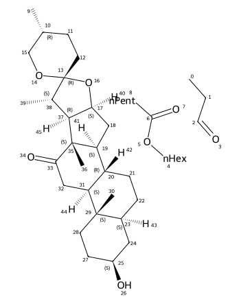 CCC=O.CCCCCCOC(=O)CCCCC.C[C@@H]1CC[C@@]2(OC1)O[C@H]1C[C@H]3[C@@H]4CC[C@H]5C[C@@H](O)CC[C@]5(C)[C@H]4CC(=O)[C@]3(C)[C@H]1[C@@H]2C